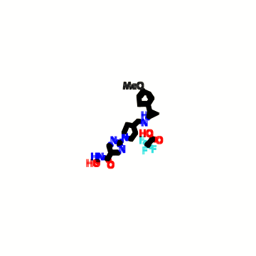 COc1ccc(C2CC2NCC2CCN(c3ncc(C(=O)NO)cn3)CC2)cc1.O=C(O)C(F)(F)F